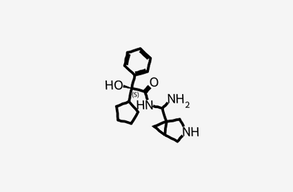 NC(NC(=O)[C@@](O)(c1ccccc1)C1CCCC1)C12CNCC1C2